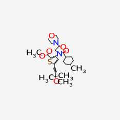 COC(=O)c1sc(C#CC(C)(C)OC)cc1N(CC(=O)N1CCOCC1)C(=O)C1CCC(C)CC1